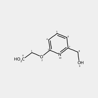 O=C(O)COc1cccc(CO)n1